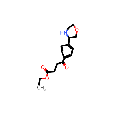 CCOC(=O)CCC(=O)c1ccc(C2COCCN2)cc1